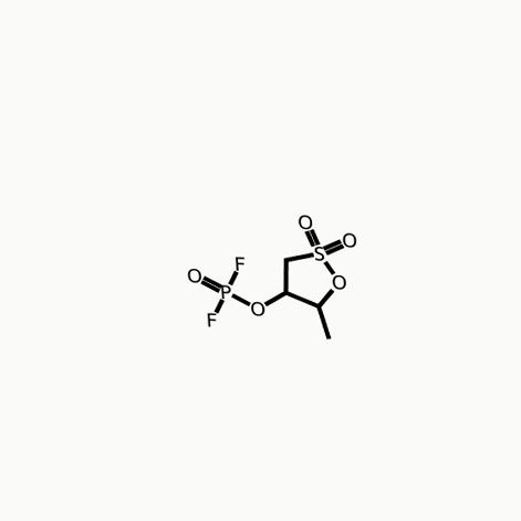 CC1OS(=O)(=O)CC1OP(=O)(F)F